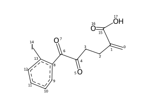 C=C(CCC(=O)C(=O)c1ccccc1I)C(=O)O